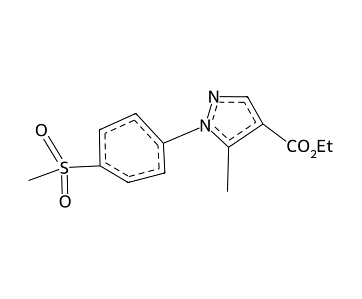 CCOC(=O)c1cnn(-c2ccc(S(C)(=O)=O)cc2)c1C